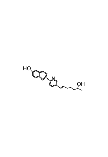 CC(O)CCC/C=C/c1ccc(-c2ccc3cc(O)ccc3c2)nc1